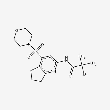 CCC(C)(C)C(=O)Nc1cc(S(=O)(=O)N2CCOCC2)c2c(n1)CCC2